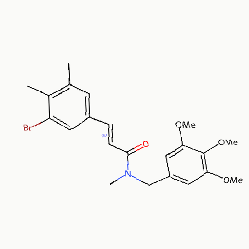 COc1cc(CN(C)C(=O)/C=C/c2cc(C)c(C)c(Br)c2)cc(OC)c1OC